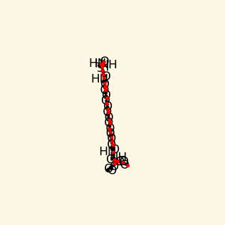 CCOC(=O)COc1cc(OCC(=O)OCC)cc(C(=O)NCCNC(=O)CCOCCOCCOCCOCCOCCOCCOCCOCCOCCOCCOCCOCCNC(=O)CCCC[C@@H]2SC[C@@H]3NC(=O)N[C@@H]32)c1